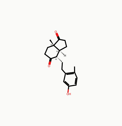 Cc1ccc(O)cc1CC[C@@H]1C(=O)CC[C@]2(C)C(=O)CC[C@@H]12